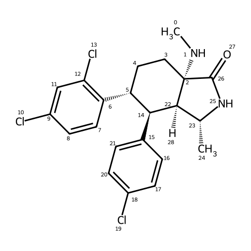 CN[C@@]12CC[C@@H](c3ccc(Cl)cc3Cl)[C@H](c3ccc(Cl)cc3)[C@@H]1[C@@H](C)NC2=O